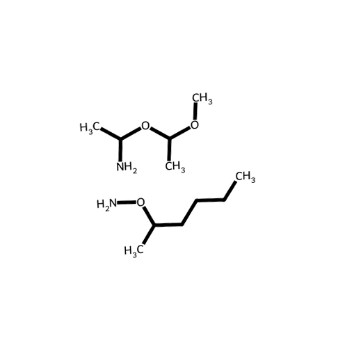 CCCCC(C)ON.COC(C)OC(C)N